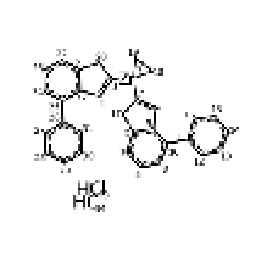 C1=[C]([Zr]2([C]3=Cc4c(cccc4-c4ccccc4)C3)[CH2][CH2]2)Cc2cccc(-c3ccccc3)c21.Cl.Cl